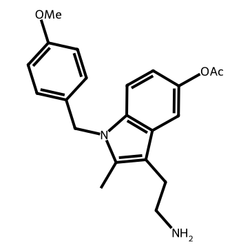 COc1ccc(Cn2c(C)c(CCN)c3cc(OC(C)=O)ccc32)cc1